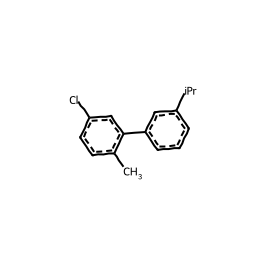 Cc1ccc(Cl)cc1-c1cccc(C(C)C)c1